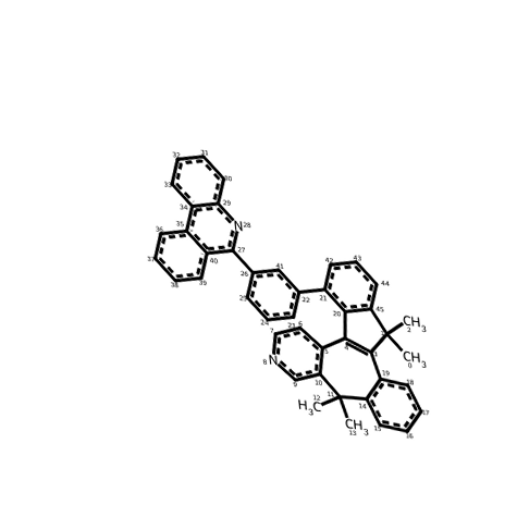 CC1(C)C2=C(c3ccncc3C(C)(C)c3ccccc32)c2c(-c3cccc(-c4nc5ccccc5c5ccccc45)c3)cccc21